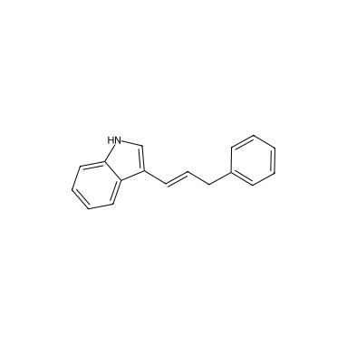 C(=Cc1c[nH]c2ccccc12)Cc1ccccc1